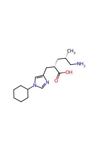 C[C@H](CN)C[C@@H](Cc1cn(C2CCCCC2)cn1)C(=O)O